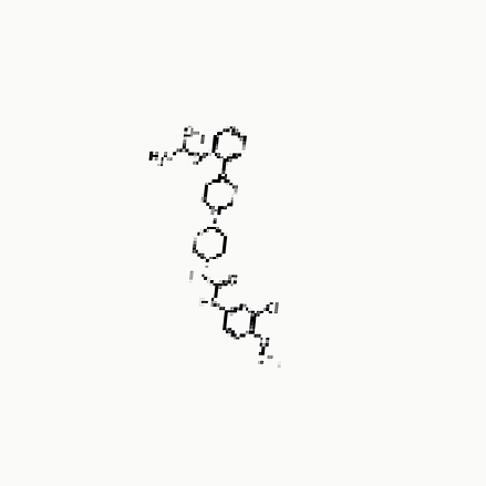 COc1ccc(NC(=O)N[C@H]2CC[C@@H](N3CCN(c4ccccc4OC(C)C)CC3)CC2)cc1Cl